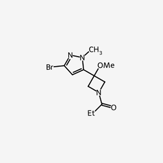 CCC(=O)N1CC(OC)(c2cc(Br)nn2C)C1